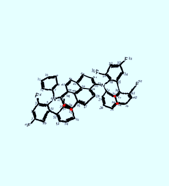 Fc1cc(F)c(N(c2ccccc2)c2ccc3ccc4c(N(c5ccccc5)c5c(F)cc(F)cc5-c5ccccc5F)ccc5ccc2c3c54)c(-c2ccccc2F)c1